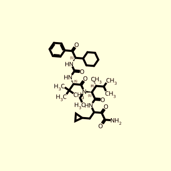 CCN(C(=O)[C@@H](NC(=O)N[C@H](C(=O)c1ccccc1)C1CCCCC1)C(C)(C)C)[C@H](C(=O)NC(CC1CC1)C(=O)C(N)=O)[C@H](C)C(C)C